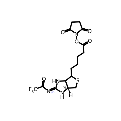 O=C(CCCCC1SC[C@@H]2N/C(=N/C(=O)C(F)(F)F)NC12)ON1C(=O)CCC1=O